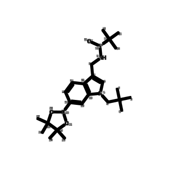 CC(C)(C)Cn1cc(CN[S+]([O-])C(C)(C)C)c2ccc(B3OC(C)(C)C(C)(C)O3)cc21